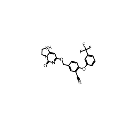 N#Cc1cc(COc2cc3n(c(=O)n2)CCN3)ccc1Oc1cccc(C(F)(F)F)c1